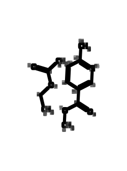 CCOC(C)=O.COC(=O)c1ccc(C)nc1